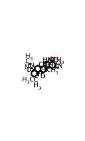 Cc1noc([C@]23CCC(C)(C)C[C@H]2[C@H]2C(=O)C=C4[C@@](C)(CC[C@@]5(NO)C(C)(C)c6oncc6C[C@]45C)[C@]2(C)CC3)n1